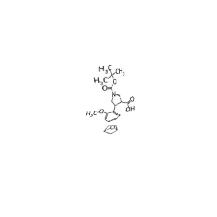 C1CC2CC1O2.COc1ccccc1C1CN(C(=O)OC(C)(C)C)CC1C(=O)O